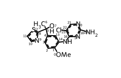 COc1ccc([C@@](C)(O)c2nccs2)cc1Nc1nc(N)ncc1Cl